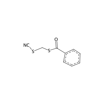 N#CSCSC(=O)c1ccccc1